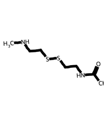 CNCCSSCCNC(C)=O